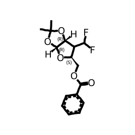 CC1(C)O[C@H]2O[C@H](COC(=O)c3ccccc3)C(C(F)F)[C@H]2O1